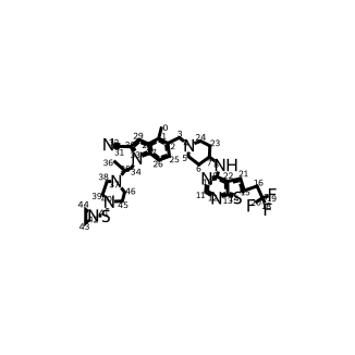 Cc1c(CN2CCC(Nc3ncnc4sc(CC(F)(F)F)cc34)CC2)ccc2c1cc(C#N)n2CC(C)N1CCN(SN2CC2)CC1